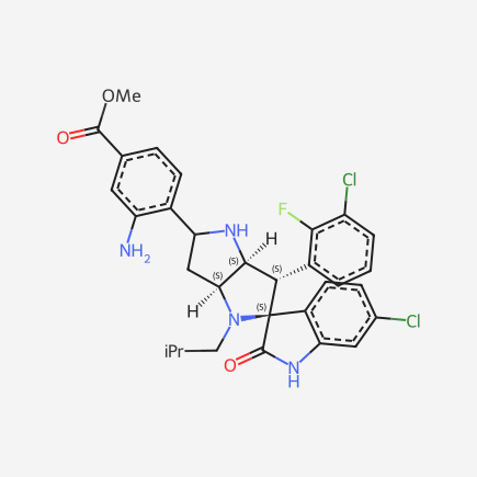 COC(=O)c1ccc(C2C[C@H]3[C@@H](N2)[C@H](c2cccc(Cl)c2F)[C@]2(C(=O)Nc4cc(Cl)ccc42)N3CC(C)C)c(N)c1